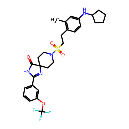 Cc1cc(NC2CCCC2)ccc1CCS(=O)(=O)N1CCC2(CC1)N=C(c1cccc(OC(F)(F)F)c1)NC2=O